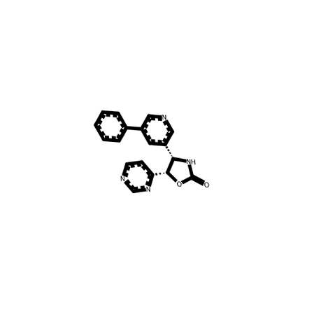 O=C1N[C@@H](c2cncc(-c3ccccc3)c2)[C@@H](c2ccncn2)O1